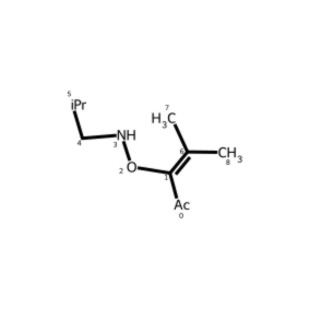 CC(=O)C(ONCC(C)C)=C(C)C